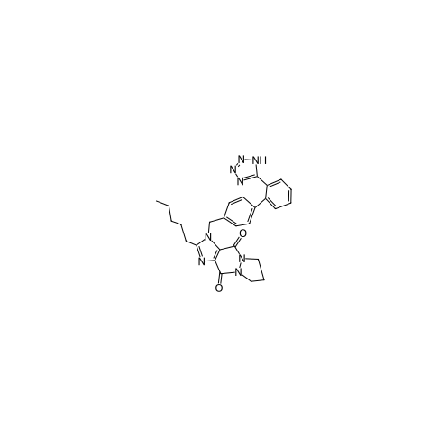 CCCCCc1nc2c(=O)n3n(c(=O)c2n1Cc1ccc(-c2ccccc2-c2nnn[nH]2)cc1)CCC3